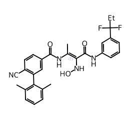 CCC(F)(F)c1cccc(NC(=O)/C(NO)=C(\C)NC(=O)c2ccc(C#N)c(-c3c(C)cccc3C)c2)c1